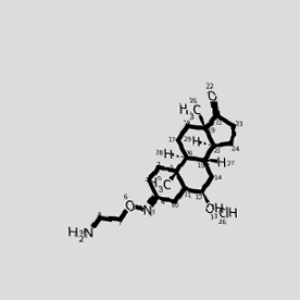 C[C@]12CCC(=NOCCN)CC1[C@H](O)C[C@@H]1[C@@H]2CC[C@]2(C)C(=O)CC[C@@H]12.Cl